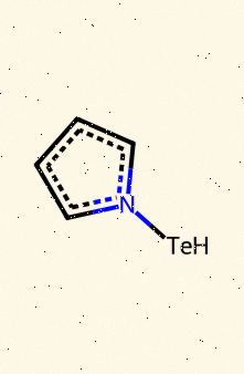 [TeH]n1cccc1